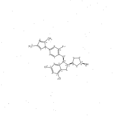 Cc1cn(-c2ccc(O[C@@H]3c4cc(Cl)cc(Cl)c4C[C@@H]3N3CC[C@@H](O)C3)c(F)c2)c(C)n1